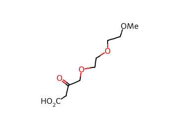 COCCOCCOCC(=O)CC(=O)O